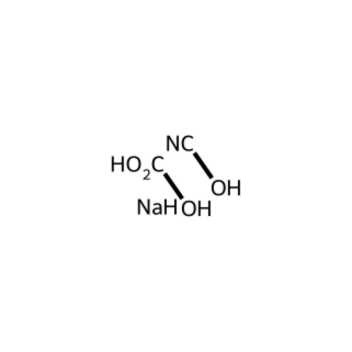 N#CO.O=C(O)O.[NaH]